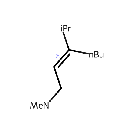 CCCC/C(=C\CNC)C(C)C